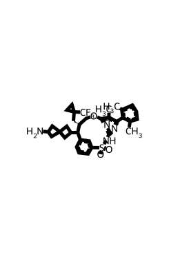 Cc1cccc(C)c1-c1nc2nc(c1C)OC[C@@H](CC1(C(F)(F)F)CC1)C(C1CC3(CC(N)C3)C1)c1cccc(c1)S(=O)(=O)N2